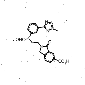 Cn1nnc(-c2cccc(N(C=O)CCN3Cc4ccc(C(=O)O)cc4C3=O)c2)n1